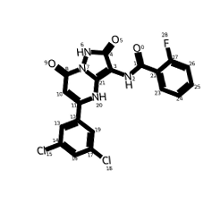 O=C(Nc1c(=O)[nH]n2c(=O)cc(-c3cc(Cl)cc(Cl)c3)[nH]c12)c1ccccc1F